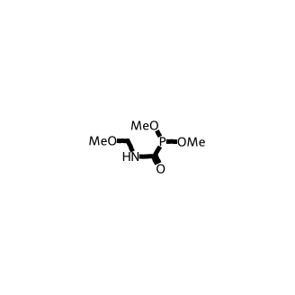 COCNC(=O)P(OC)OC